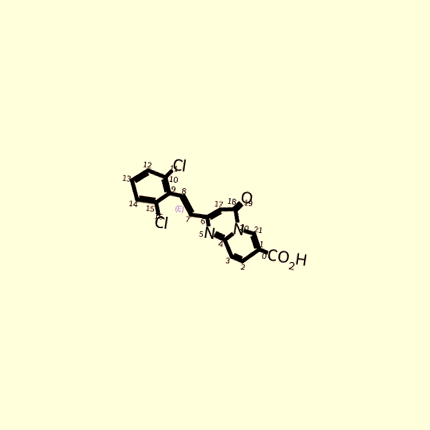 O=C(O)c1ccc2nc(/C=C/c3c(Cl)cccc3Cl)cc(=O)n2c1